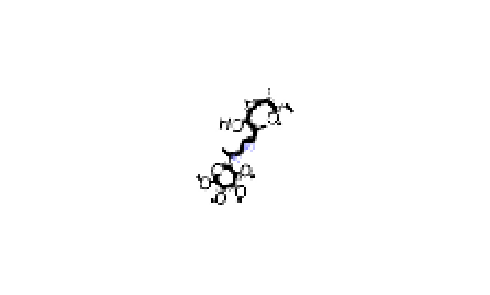 CC[C@H](OC)[C@@H](C)[C@H]1C[C@@H]1[C@H](O)[C@@H](C)/C=C/C=C(\C)[C@H]1O[C@H](OC)[C@@H](OC)[C@@H](OC)[C@@H]1OC